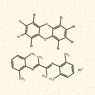 CC(=Nc1c(C)cccc1C)C(C)=Nc1c(C)cccc1C.[Ni+2].[O-]c1c([O-])c(Br)c2c(c1Br)Oc1c(Br)c(Br)c(Br)c(Br)c1O2